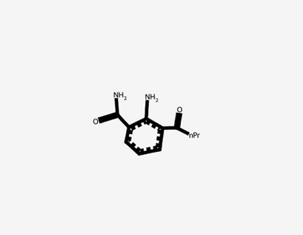 CCCC(=O)c1cccc(C(N)=O)c1N